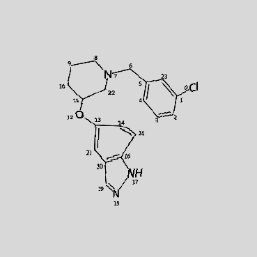 Clc1cccc(CN2CCCC(Oc3ccc4[nH]ncc4c3)C2)c1